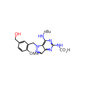 CCCCNc1nc(NC(=O)O)nc2cnn(Cc3cc(CO)ccc3OC)c12